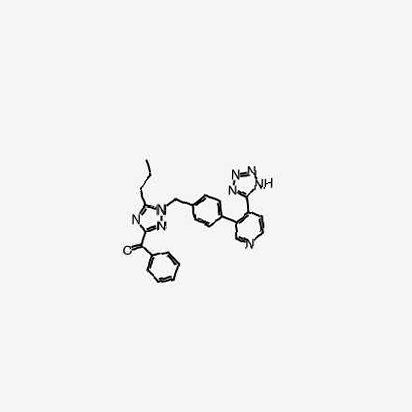 CCCc1nc(C(=O)c2ccccc2)nn1Cc1ccc(-c2cnccc2-c2nnn[nH]2)cc1